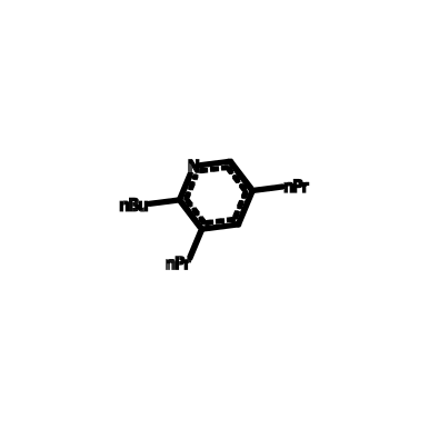 CCCCc1ncc(CCC)cc1CCC